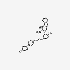 COc1ccc(N2CCN(CCCCc3ccc(OC)c(N(Cc4cc5ccccc5o4)C(=N)N)c3)CC2)cc1